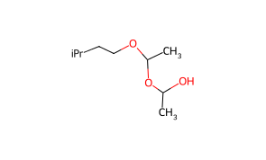 CC(C)CCOC(C)OC(C)O